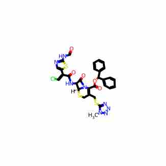 Cn1nnnc1SCC1=C(C(=O)OC(c2ccccc2)c2ccccc2)N2C(=O)C(NC(=O)C(=CCl)c3cnc(NC=O)s3)[C@@H]2SC1